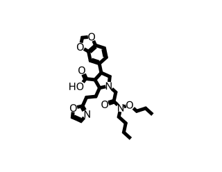 CCCCN(OCCC)C(=O)CN1CC(c2ccc3c(c2)OCO3)C(C(=O)O)C1CCc1ncco1